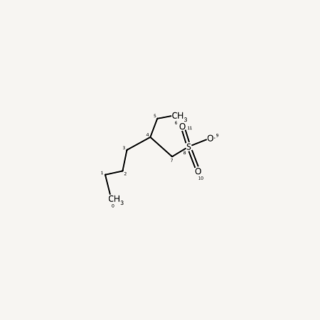 CCCCC(CC)CS([O])(=O)=O